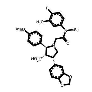 CCCCN(C(=O)CN1C[C@H](c2ccc3c(c2)OCO3)[C@H](C(=O)O)[C@H]1c1ccc(OC)cc1)c1ccc(F)c(C)c1